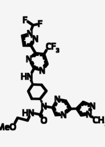 COCCNC(=O)N(c1cnc(-c2cnn(C)c2)cn1)[C@H]1CC[C@H](Nc2ncc(C(F)(F)F)c(-c3ccn(C(F)F)n3)n2)CC1